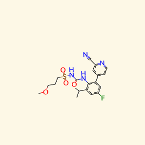 COCCCS(=O)(=O)NC(=O)Nc1c(-c2ccnc(C#N)c2)cc(F)cc1C(C)C